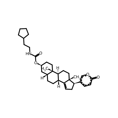 C[C@]12CC[C@H](OC(=O)NCCC3CCCC3)C[C@H]1CC[C@H]1C3=CC[C@H](c4ccc(=O)oc4)[C@@]3(C)CC[C@@H]12